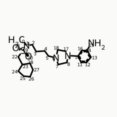 CN(CCCCN1CCN(c2cccc(N)c2)CC1)S(=O)(=O)CC1CCCCC1